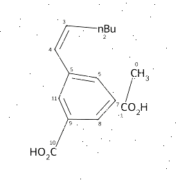 CC(=O)O.CCCC/C=C\c1cccc(C(=O)O)c1